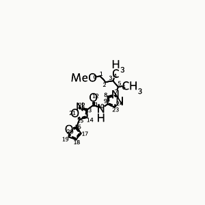 COCCC(C)C(C)n1cc(NC(=O)c2cc(-c3ccco3)on2)cn1